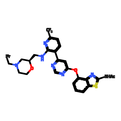 CC(=O)Nc1nc2c(Oc3cc(-c4ccc(C(F)(F)F)nc4NC[C@@H]4CN(CC(C)C)CCO4)ncn3)cccc2s1